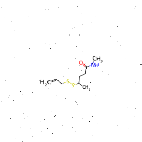 C=CCSSC(C)CCC(=O)NC